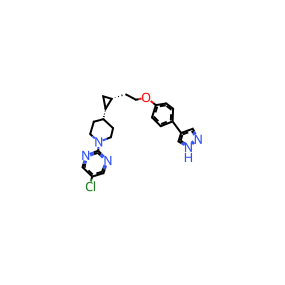 Clc1cnc(N2CCC([C@@H]3C[C@@H]3CCOc3ccc(-c4cn[nH]c4)cc3)CC2)nc1